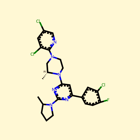 CC1CCCN1c1nc(-c2ccc(F)c(Cl)c2)cc(N2CCN(c3ncc(Cl)cc3Cl)C[C@H]2C)n1